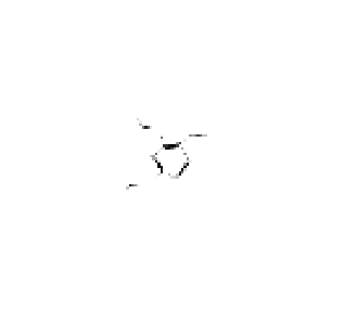 OCc1ccc(OCF)cc1OCF